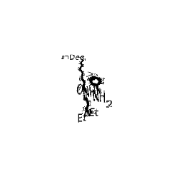 CCCCCCCCCCCCCCCCCC(=O)NCCCN(CC)CC.NCc1ccccc1